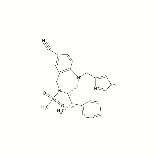 C[C@@H](c1ccccc1)[C@H]1CN(Cc2c[nH]cn2)c2ccc(C#N)cc2CN1S(C)(=O)=O